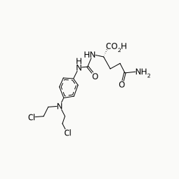 NC(=O)CC[C@H](NC(=O)Nc1ccc(N(CCCl)CCCl)cc1)C(=O)O